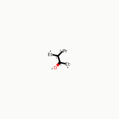 C[CH]C(=O)C(CC)C(C)C